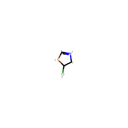 ClC1[C]N=CS1